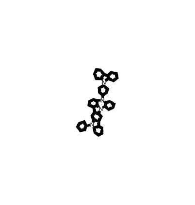 c1ccc(-n2c3ccccc3c3cc4c(cc32)c2cccc3c2n4-c2ccccc2N3c2ccc(-n3c4ccccc4c4ccccc43)cc2)cc1